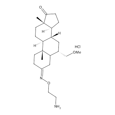 COC[C@H]1C[C@@H]2[C@H](CC[C@]3(C)C(=O)CC[C@@H]23)[C@@]2(C)CC/C(=N/OCCN)CC12.Cl